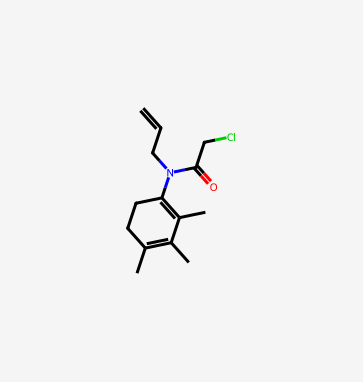 C=CCN(C(=O)CCl)C1=C(C)C(C)=C(C)CC1